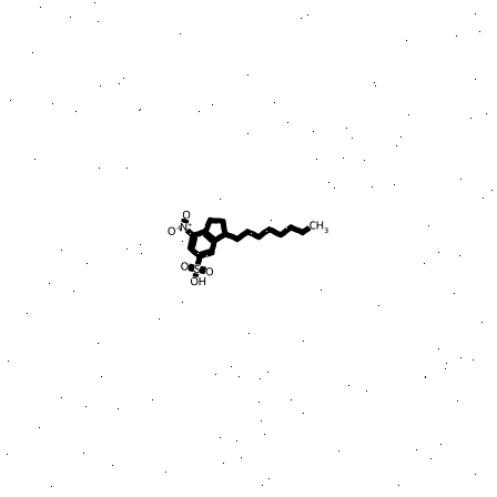 CCCCCCCCC1CCc2c1cc(S(=O)(=O)O)cc2[N+](=O)[O-]